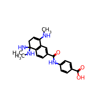 CNC1=CCC(NC)(NC)c2ccc(C(=O)Nc3ccc(C(=O)O)cc3)cc21